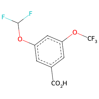 O=C(O)c1cc(OC(F)F)cc(OC(F)(F)F)c1